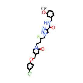 O=C(NCc1cccc(OC(F)(F)F)c1)c1cn(CC(F)CCn2ccc(COc3ccc(Cl)cc3)cc2=O)nn1